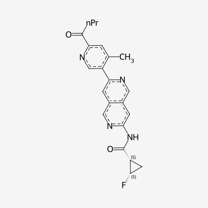 CCCC(=O)c1cc(C)c(-c2cc3cnc(NC(=O)[C@@H]4C[C@@H]4F)cc3cn2)cn1